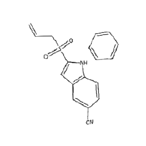 C=CCS(=O)(=O)c1cc2cc(C#N)ccc2[nH]1.c1ccccc1